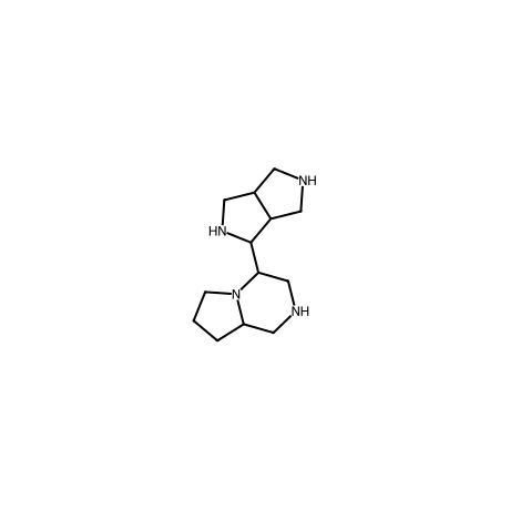 C1CC2CNCC(C3NCC4CNCC43)N2C1